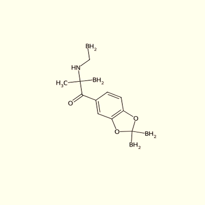 BCNC(B)(C)C(=O)c1ccc2c(c1)OC(B)(B)O2